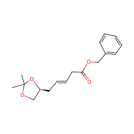 CC1(C)OC[C@H](C/C=C/CC(=O)OCc2ccccc2)O1